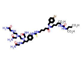 NC(=O)CNCCN(CCN(CC(N)=O)C(CNCC(N)=O)Cc1ccc(NC(=S)NCCCCC(=O)N(CCCC[C@@H](NC(=O)N[C@H](CCC(=O)O)C(=O)O)C(=O)O)Cc2ccc(Br)cc2)cc1)CC(N)=O